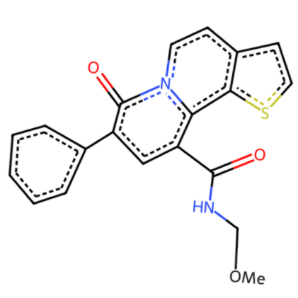 COCNC(=O)c1cc(-c2ccccc2)c(=O)n2ccc3ccsc3c12